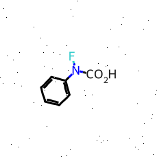 O=C(O)N(F)c1ccccc1